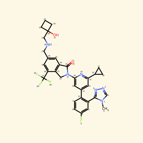 Cn1cnnc1-c1cc(F)ccc1-c1cc(C2CC2)nc(N2Cc3c(cc(CNCC4(O)CCC4)cc3C(F)(F)F)C2=O)c1